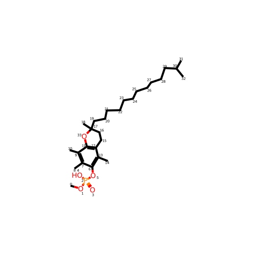 COP(=O)(O)Oc1c(C)c(C)c2c(c1C)CCC(C)(CCCCCCCCCCCC(C)C)O2